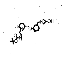 C[C@@H]1CC[C@H](COc2cccc(CN3CC(O)C3)c2)CN1CCN(C)C(=O)OC(C)(C)C